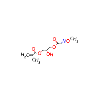 C=C(C)C(=O)OCC(O)COC(=O)C=NOC